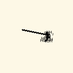 CCCCCCCCCCCCCCCCCCCCCCC1(C(N)=O)OON1C(=O)[C@@](O)(C(C)=O)[C@@H](O)[C@H](O)[C@@H](C)O